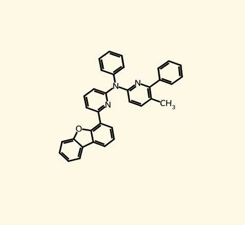 Cc1ccc(N(c2ccccc2)c2cccc(-c3cccc4c3oc3ccccc34)n2)nc1-c1ccccc1